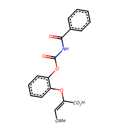 COC=C(Oc1ccccc1OC(=O)NC(=O)c1ccccc1)C(=O)O